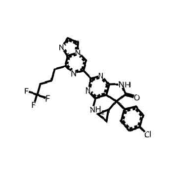 Nc1nc(-c2cn3ccnc3c(CCCC(F)(F)F)n2)nc2c1C(c1ccc(Cl)cc1)(C1CC1)C(=O)N2